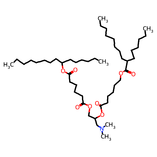 CCCCCCCCC(CCCCCC)OC(=O)CCCCC(=O)OCC(CN(C)C)OC(=O)CCCCCOC(=O)C(CCCCCC)CCCCCCCC